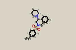 CCCc1ccc(S(=O)(=O)N(CCN2CCCCC2)Cc2ccccc2)cc1